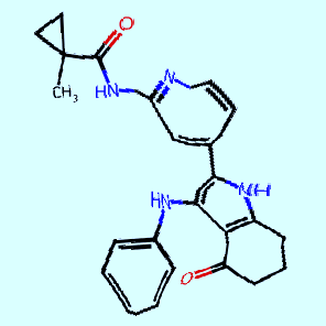 CC1(C(=O)Nc2cc(-c3[nH]c4c(c3Nc3ccccc3)C(=O)CCC4)ccn2)CC1